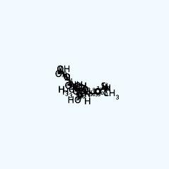 Cc1ncsc1-c1ccc(CCNC(=O)[C@@H]2C[C@@H](O)CN2C(=O)C(C)(C)[C@H](C)NC(=O)CCOCCC(=O)O)cc1